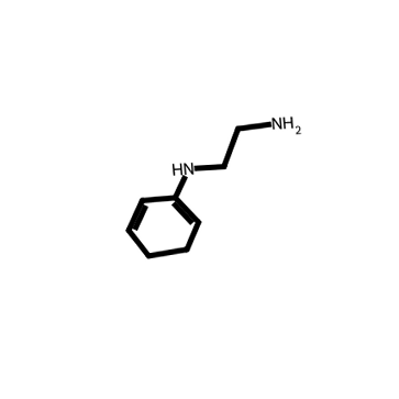 NCCNC1=CCCC=C1